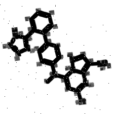 CCc1cc(N(C)c2ccc(-c3ccccc3-c3nnn[nH]3)cc2)n2ncc([N+](=O)[O-])c2n1